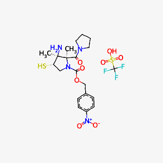 C[C@]1(C(=O)N2CCCC2)N(C(=O)OCc2ccc([N+](=O)[O-])cc2)C[C@H](S)[C@@]1(C)N.O=S(=O)(O)C(F)(F)F